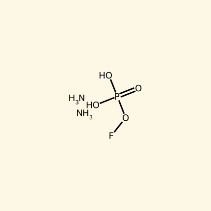 N.N.O=P(O)(O)OF